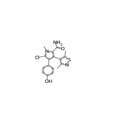 Cc1nsc(C)c1-c1c(-c2ccc(O)cc2)c(Cl)n(C)c1C(N)=O